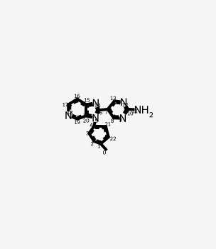 Cc1ccc(-n2c(-c3cnc(N)nc3)nc3ccncc32)cc1